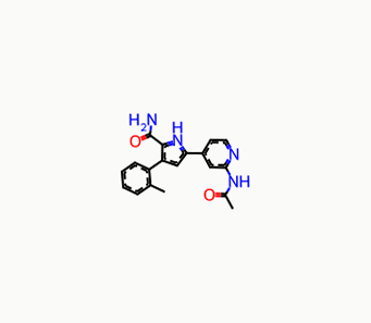 CC(=O)Nc1cc(-c2cc(-c3ccccc3C)c(C(N)=O)[nH]2)ccn1